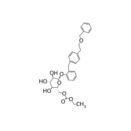 CCOC(=O)OC[C@H]1O[C@H](Oc2ccccc2Cc2ccc(CCOCc3ccccc3)cc2)[C@H](O)[C@@H](O)[C@@H]1O